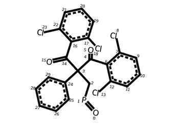 O=PCC(C(=O)c1c(Cl)cccc1Cl)(C(=O)c1c(Cl)cccc1Cl)c1ccccc1